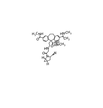 C=C(NC)c1ccc2c(c1)CCc1cc(C(=O)NC)ccc1C2(CCNCC(=O)N1C(C#N)C[C@@H]2C[C@@H]21)C(=O)NNC